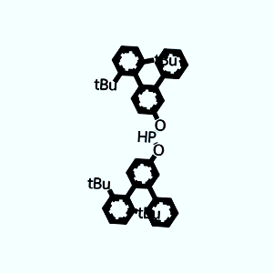 CC(C)(C)c1cccc(C(C)(C)C)c1-c1ccc(OPOc2ccc(-c3c(C(C)(C)C)cccc3C(C)(C)C)c(-c3ccccc3)c2)cc1-c1ccccc1